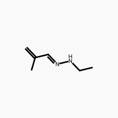 C=C(C)C=NNCC